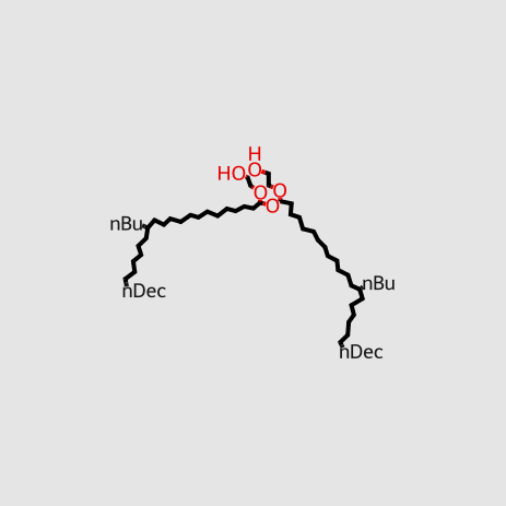 CCCCCCCCCCCCCCCCC(CCCC)CCCCCCCCCCCCC(OCCO)OC(CCCCCCCCCCCCC(CCCC)CCCCCCCCCCCCCCCC)OCCO